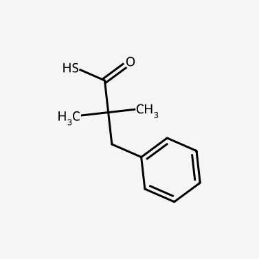 CC(C)(Cc1ccccc1)C(=O)S